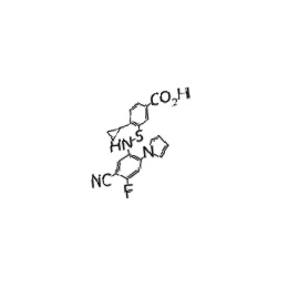 N#Cc1cc(NSc2cc(C(=O)O)ccc2C2CC2)c(-n2cccc2)cc1F